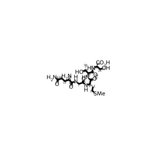 CSCC[C@H](NC(=O)CNC(=O)[C@@H](N)CCC(N)=O)C(=O)N[C@H](C(=O)N[C@@H](CO)C(=O)O)[C@@H](C)O